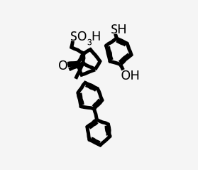 CC1(C)C2CCC1(CS(=O)(=O)O)C(=O)C2.Oc1ccc(S)cc1.c1ccc(-c2ccccc2)cc1